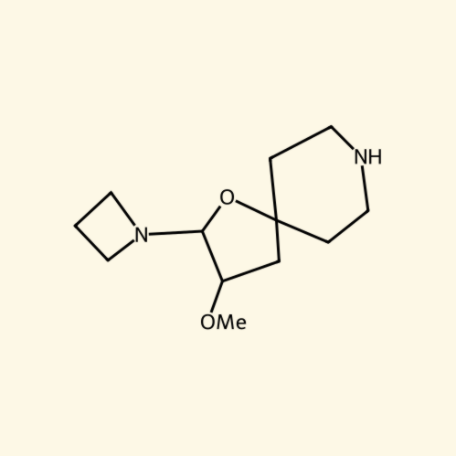 COC1CC2(CCNCC2)OC1N1CCC1